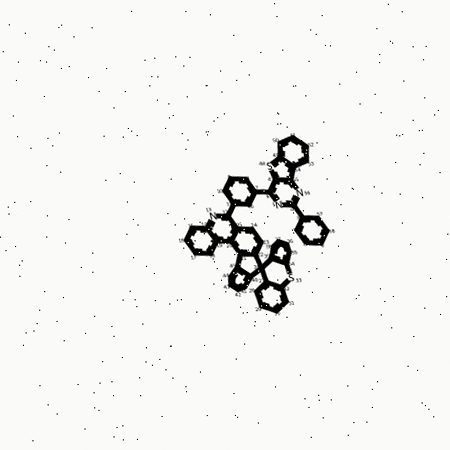 c1ccc(-c2nc(-c3cccc(-c4nc5ccccc5c5c6c(ccc45)C4(c5ccccc5Sc5ccccc54)c4ccccc4-6)c3)c3sc4ccccc4c3n2)cc1